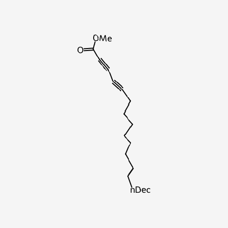 CCCCCCCCCCCCCCCCCCC#CC#CC(=O)OC